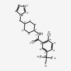 O=C(NC1CCC(Cn2ccnc2)CC1)c1cc(C(F)(F)F)ccc1Cl